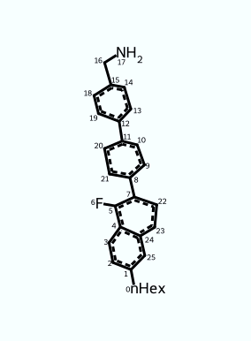 CCCCCCc1ccc2c(F)c(-c3ccc(-c4ccc(CN)cc4)cc3)ccc2c1